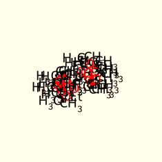 CCC(OC(=O)/C=C/C(=O)OC(CC)[Si](O[Si](C)(C)C)(O[Si](C)(C)C)O[Si](O[Si](C)(C)C)(O[Si](C)(C)C)O[Si](C)(C)C)[Si](O[Si](C)(C)C)(O[Si](C)(C)C)O[Si](O[Si](C)(C)C)(O[Si](C)(C)C)O[Si](C)(C)C